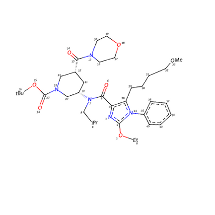 CCOc1nc(C(=O)N(CC(C)C)[C@H]2C[C@@H](C(=O)N3CCOCC3)CN(C(=O)OC(C)(C)C)C2)c(CCCCOC)n1-c1ccccc1